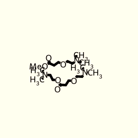 CN(C)CCOCCC(=O)OCCN(C)C.COC(=O)CCOCCN(C)C